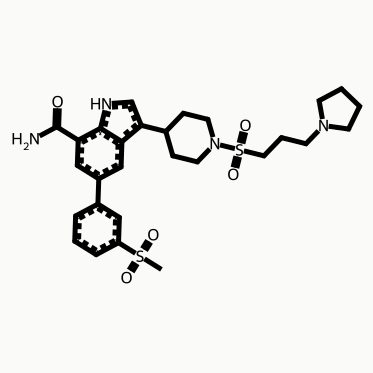 CS(=O)(=O)c1cccc(-c2cc(C(N)=O)c3[nH]cc(C4CCN(S(=O)(=O)CCCN5CCCC5)CC4)c3c2)c1